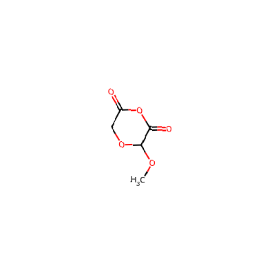 COC1OCC(=O)OC1=O